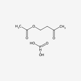 CC(=O)CCOC(C)=O.O=[PH](O)O